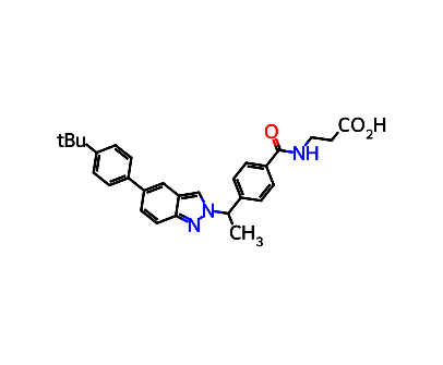 CC(c1ccc(C(=O)NCCC(=O)O)cc1)n1cc2cc(-c3ccc(C(C)(C)C)cc3)ccc2n1